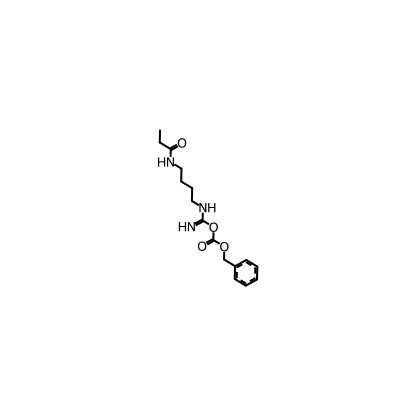 CCC(=O)NCCCCNC(=N)OC(=O)OCc1ccccc1